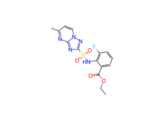 CCOC(=O)c1cccc(F)c1NS(=O)(=O)c1nc2nc(C)ccn2n1